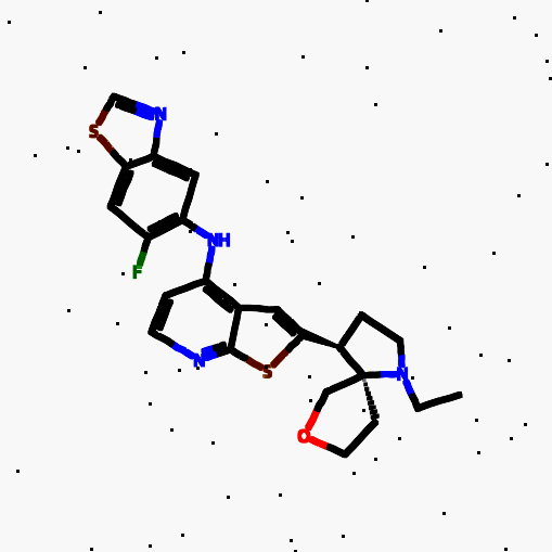 CCN1CC[C@H](c2cc3c(Nc4cc5ncsc5cc4F)ccnc3s2)[C@@]12CCOC2